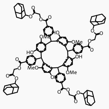 COc1cc(O)c2cc1C(c1ccc(C(=O)OCC(=O)OC3C4CC5CC(C4)CC3C5)cc1)c1cc(c(OC)cc1O)C(c1ccc(C(=O)OCC(=O)OC3C4CC5CC(C4)CC3C5)cc1)c1cc(c(OC)cc1O)C(c1ccc(C(=O)OCC(=O)OC3C4CC5CC(C4)CC3C5)cc1)c1cc(c(OC)cc1O)C2c1ccc(C(=O)OCC(=O)OC2C3CC4CC(C3)CC2C4)cc1